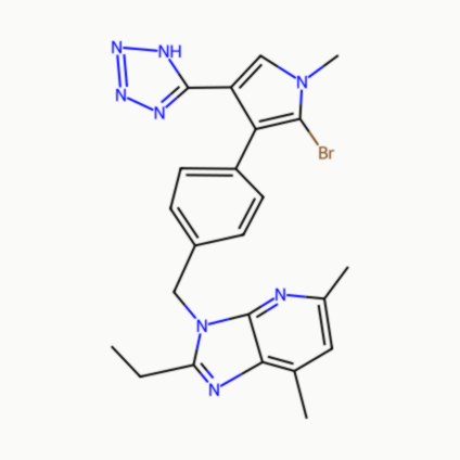 CCc1nc2c(C)cc(C)nc2n1Cc1ccc(-c2c(-c3nnn[nH]3)cn(C)c2Br)cc1